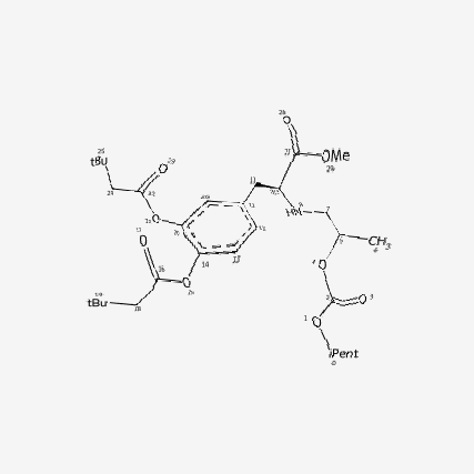 CCCC(C)OC(=O)OC(C)CN[C@@H](Cc1ccc(OC(=O)CC(C)(C)C)c(OC(=O)CC(C)(C)C)c1)C(=O)OC